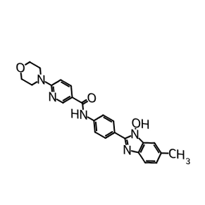 Cc1ccc2nc(-c3ccc(NC(=O)c4ccc(N5CCOCC5)nc4)cc3)n(O)c2c1